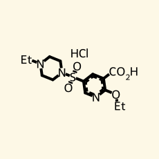 CCOc1ncc(S(=O)(=O)N2CCN(CC)CC2)cc1C(=O)O.Cl